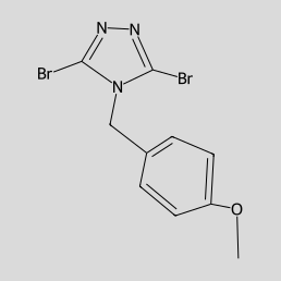 COc1ccc(Cn2c(Br)nnc2Br)cc1